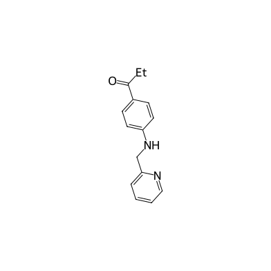 CCC(=O)c1ccc(NCc2ccccn2)cc1